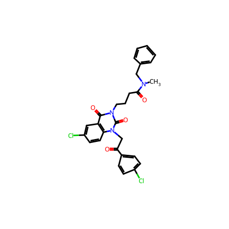 CN(Cc1ccccc1)C(=O)CCCn1c(=O)c2cc(Cl)ccc2n(CC(=O)c2ccc(Cl)cc2)c1=O